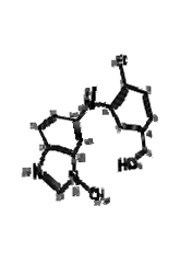 CCc1ccc(CO)cc1Nc1ccc2ncn(C)c2c1